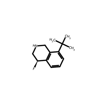 CC(C)(C)c1cccc2c1CNC[C@@H]2F